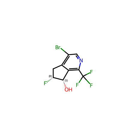 O[C@H]1c2c(C(F)(F)F)ncc(Br)c2C[C@H]1F